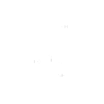 CCC[SiH](O)O[SiH3]